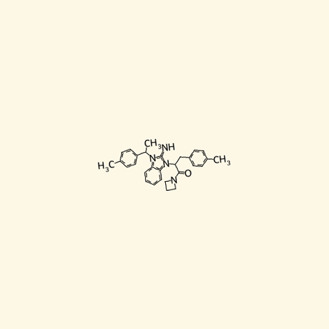 Cc1ccc(CC(C(=O)N2CCC2)n2c(=N)n(C(C)c3ccc(C)cc3)c3ccccc32)cc1